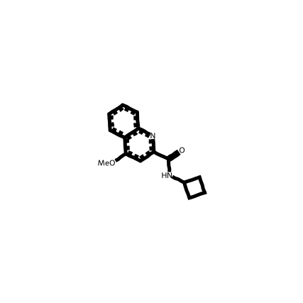 COc1cc(C(=O)NC2CCC2)nc2ccccc12